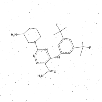 CC(C)(F)c1cc(Nc2nc(N3CCCC(N)C3)ncc2C(N)=O)cc(C(C)(C)F)c1